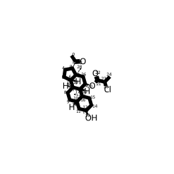 CC(=O)[C@H]1CC[C@H]2[C@@H]3CC[C@H]4C[C@H](O)CC[C@]4(C)[C@H]3[C@@H](OC(=O)C(C)Cl)C[C@]12C